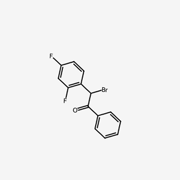 O=C(c1ccccc1)C(Br)c1ccc(F)cc1F